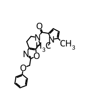 Cc1ccc(C(=O)N2CCc3nc(COc4ccccc4)oc3C2)n1C